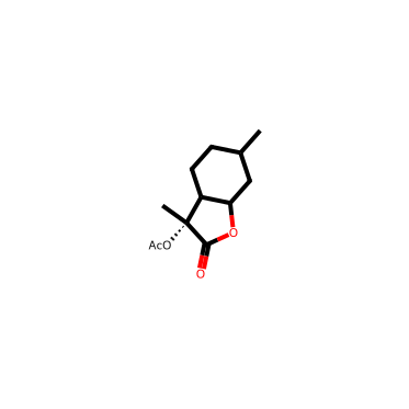 CC(=O)O[C@@]1(C)C(=O)OC2CC(C)CCC21